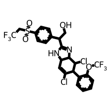 O=S(=O)(CC(F)(F)F)c1ccc(C(CO)C2=NC3C(C=C(Cl)C(c4ccccc4OC(F)(F)F)C3Cl)N2)cc1